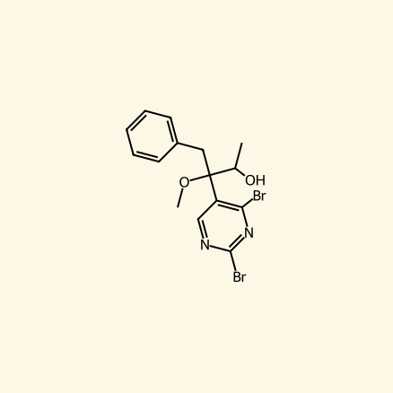 COC(Cc1ccccc1)(c1cnc(Br)nc1Br)C(C)O